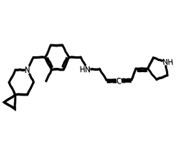 CC1=C(CN2CCC3(CC2)CC3)CCC(CNCC=C=C/C=C2\CCNC2)=C1